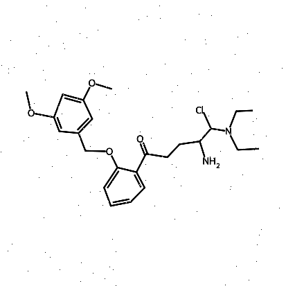 CCN(CC)C(Cl)C(N)CCC(=O)c1ccccc1OCc1cc(OC)cc(OC)c1